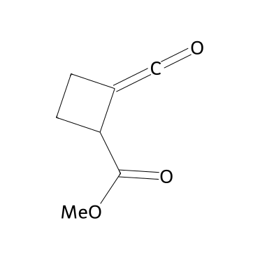 COC(=O)C1CCC1=C=O